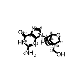 Nc1nc2c(ncn2[C@@H]2O[C@@]3(CO)COC2[C@H]3O)c(=O)[nH]1